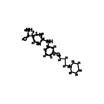 NC(=O)c1cnc(Nc2cccc(OCCCN3CCCCC3)c2)nc1